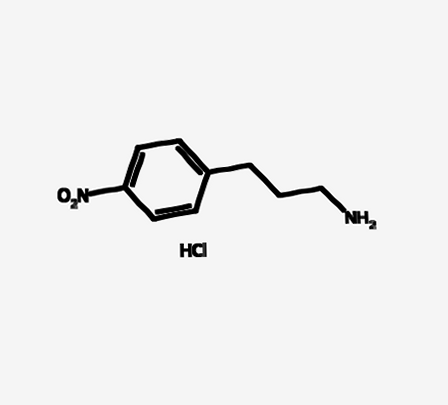 Cl.NCCCc1ccc([N+](=O)[O-])cc1